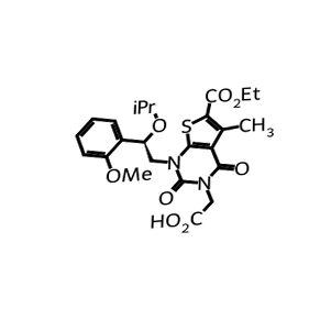 CCOC(=O)c1sc2c(c1C)c(=O)n(CC(=O)O)c(=O)n2C[C@H](OC(C)C)c1ccccc1OC